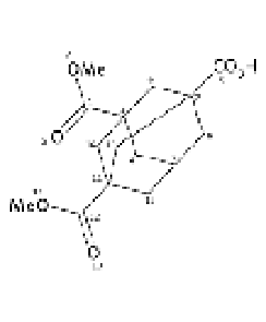 COC(=O)C12CC3CC(C(=O)O)(C1)CC(C(=O)OC)(C3)C2